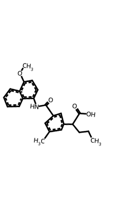 CCCC(C(=O)O)c1cc(C)cc(C(=O)Nc2ccc(OC)c3ccccc23)c1